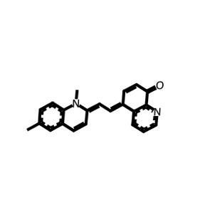 Cc1ccc2c(c1)C=C/C(=C\C=C1/C=CC(=O)c3ncccc31)N2C